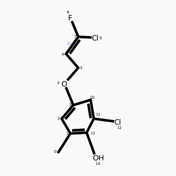 Cc1cc(OC/C=C(/F)Cl)cc(Cl)c1O